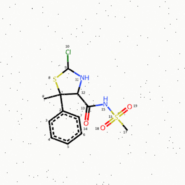 CC1(c2ccccc2)SC(Cl)NC1C(=O)NS(C)(=O)=O